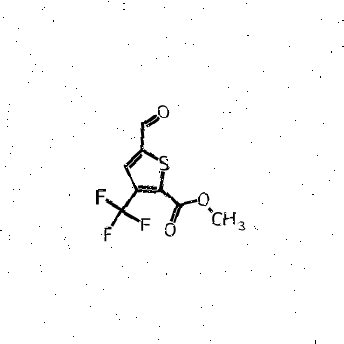 COC(=O)c1sc(C=O)cc1C(F)(F)F